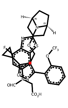 O=CN(CC(=O)O)c1cc(F)c2nc(N3[C@@H]4CC[C@H]3CC(OCc3c(-c5ccccc5OC(F)(F)F)noc3C3CC3)C4)sc2c1